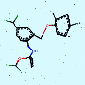 C=C(Nc1ccc(C(F)F)cc1COc1ccc(CC)cc1C)OC(F)F